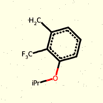 [CH2]c1cccc(OC(C)C)c1C(F)(F)F